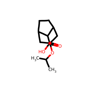 CC(C)OC1CC2CCC(C1)C2C(=O)O